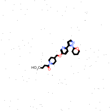 O=C(O)CCC(=O)N1CCC(COc2ccc(-c3ccnn3C3CCCCO3)nc2)CC1